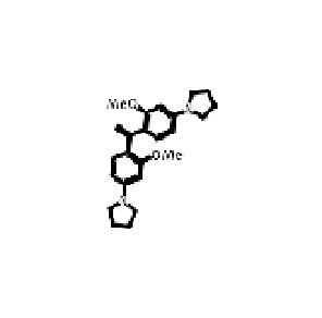 C=C(c1ccc(N2CCCC2)cc1OC)c1ccc(N2CCCC2)cc1OC